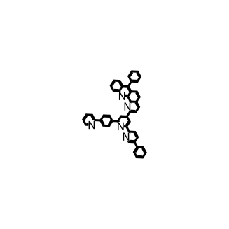 c1ccc(-c2ccc(-c3cc(-c4ccc5ccc6c(-c7ccccc7)c7ccccc7nc6c5n4)cc(-c4ccc(-c5ccccn5)cc4)n3)nc2)cc1